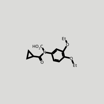 CCOc1ccc(N(C(=O)O)C(=O)C2CC2)cc1OCC